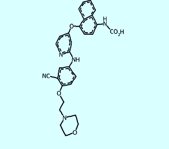 N#Cc1cc(Nc2cc(Oc3ccc(NC(=O)O)c4ccccc34)ccn2)ccc1OCCN1CCOCC1